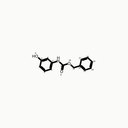 O=C(Nc1[c]c(O)ccc1)OCc1ccccc1